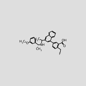 COc1cccc([C@@H](C)NC(C)c2cc(-c3ccc(CF)c(C(=O)O)c3)c3ccccc3c2)c1